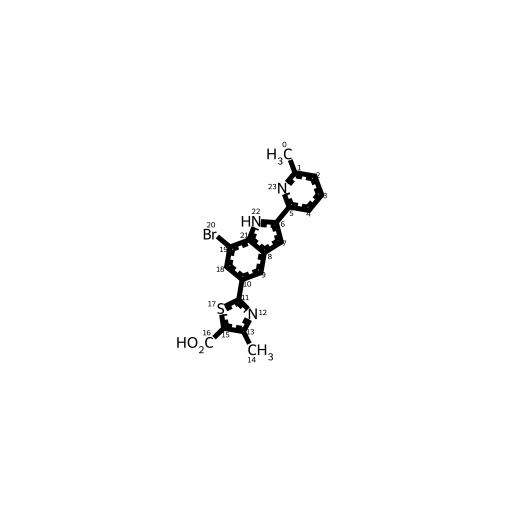 Cc1cccc(-c2cc3cc(-c4nc(C)c(C(=O)O)s4)cc(Br)c3[nH]2)n1